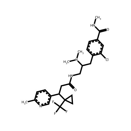 CNC(=O)c1ccc(CC(CNC(=O)CC(c2ccc(C)nc2)C2(C(F)(F)F)CC2)N(C)C)c(Cl)c1